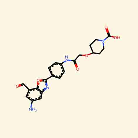 Nc1cc(C=O)c2oc(-c3ccc(NC(=O)COC4CCN(C(=O)O)CC4)cc3)nc2c1